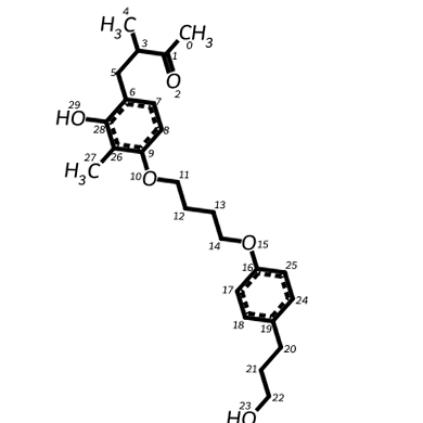 CC(=O)C(C)Cc1ccc(OCCCCOc2ccc(CCCO)cc2)c(C)c1O